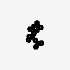 c1ccc(N(c2ccccc2)c2ccc(-n3c4ccc5c(c4c4ccc6ccccc6c43)-c3ccccc3C53c4ccccc4C4(c5ccccc5-c5ccccc54)c4ccccc43)cc2)cc1